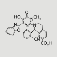 Cn1c(N2CCc3ccc(C(=O)O)cc3[C@H]2c2ccccc2C#N)nc(-c2nc3ccccc3o2)c(O)c1=O